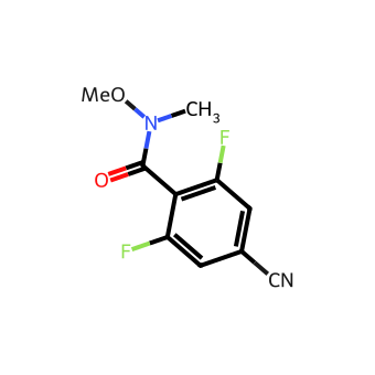 CON(C)C(=O)c1c(F)cc(C#N)cc1F